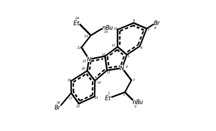 CCCCC(CC)Cn1c2cc(Br)ccc2c2c1c1ccc(Br)cc1n2CC(CC)CCCC